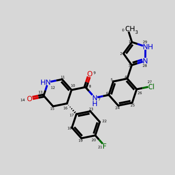 Cc1cc(-c2cc(NC(=O)C3=CNC(=O)C[C@H]3c3ccc(F)cc3)ccc2Cl)n[nH]1